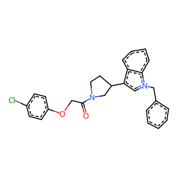 O=C(COc1ccc(Cl)cc1)N1CCC(c2cn(Cc3ccccc3)c3ccccc23)C1